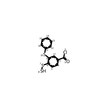 O=C(Cl)c1ccc(SS)c(Sc2ccccc2)c1